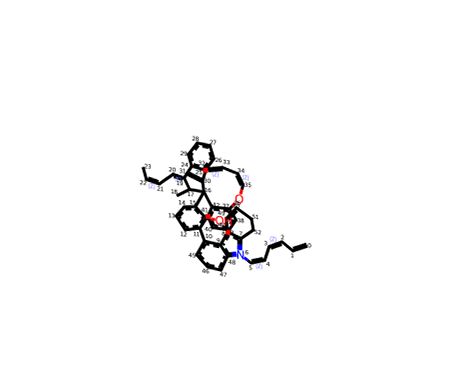 C=C/C=C\C=C/n1c2c(c3c(-c4cccc(C5(C(C)/C(=C\C=C/C)c6ccccc6)C(=C)/C=C\C=C/Oc6ccccc65)c4O)cccc31)C=CCC2